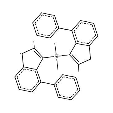 CC1=C([Si](C)(C)C2=C(C)[CH]c3cccc(-c4ccccc4)c32)c2c(cccc2-c2ccccc2)[CH]1